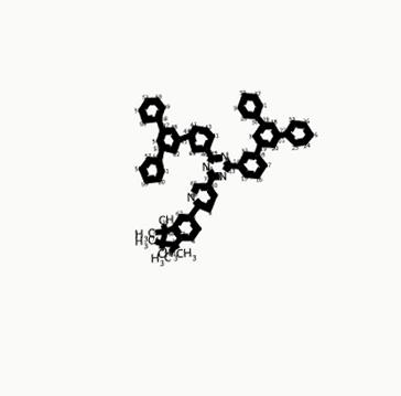 CC1(C)c2ccc(-c3ccc(-c4nc(-c5cccc(-c6cc(-c7ccccc7)cc(-c7ccccc7)c6)c5)nc(-c5cccc(-c6cc(-c7ccccc7)cc(-c7ccccc7)c6)c5)n4)cn3)cc2C(C)(C)C1(C)C